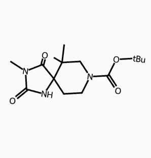 CN1C(=O)NC2(CCN(C(=O)OC(C)(C)C)CC2(C)C)C1=O